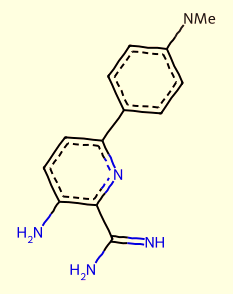 CNc1ccc(-c2ccc(N)c(C(=N)N)n2)cc1